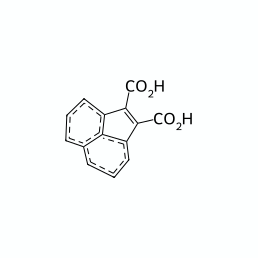 O=C(O)C1=C(C(=O)O)c2cccc3cccc1c23